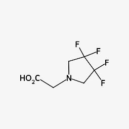 O=C(O)CN1CC(F)(F)C(F)(F)C1